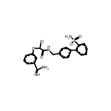 CCC(Oc1cccc(C(=N)N)c1)C(=O)NCc1ccc(-c2ccccc2S(N)(=O)=O)cc1